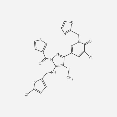 COc1c(-c2cc(Cl)c(=O)n(Cc3nccs3)c2)nn(C(=O)c2ccsc2)c1NCc1ccc(Cl)s1